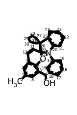 Cc1cc2c(c(CO)c1)OC1(C=C2)N(c2ccccc2)c2ccccc2C12CCCCC2